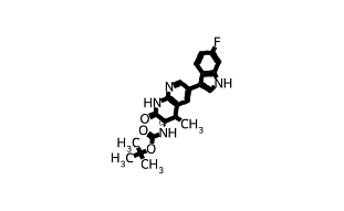 CC1c2cc(-c3c[nH]c4cc(F)ccc34)cnc2NC(=O)[C@H]1NC(=O)OC(C)(C)C